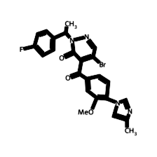 COc1cc(C(=O)c2c(Br)cnn(C(C)c3ccc(F)cc3)c2=O)ccc1-n1cnc(C)c1